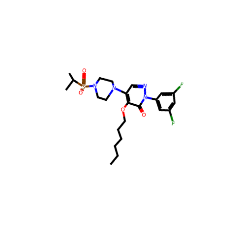 CCCCCCOc1c(N2CCN(S(=O)(=O)C(C)C)CC2)cnn(-c2cc(F)cc(F)c2)c1=O